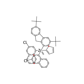 [CH2]=[Zr]([C]1=CC=CC1)([c]1cc(C(C)(C)C)cc2c1Cc1ccc(C(C)(C)C)cc1-2)([c]1cc(Cl)cc2ccccc12)[c]1cc(Cl)cc2ccccc12